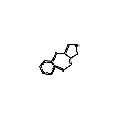 C1=C2CNC=C2N=c2ccccc2=N1